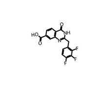 O=C(O)c1ccc2c(=O)[nH]c(Cc3ccc(F)c(F)c3F)nc2c1